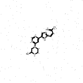 N#CC1CN(c2cc(-c3cnc(/C=C\C(=N)C(F)(F)F)[nH]3)ncn2)CCO1